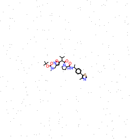 Cc1ncsc1-c1ccc(C(C)NC(=O)C2CCCN2C(=O)C(c2cc(CN(C)C(=O)OC(C)(C)C)no2)C(C)C)cc1